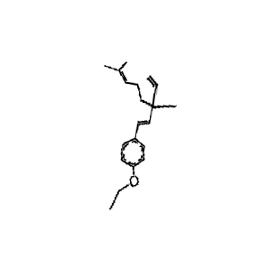 C=CC(C)(/C=C/c1ccc(OCC)cc1)CCC=C(C)C